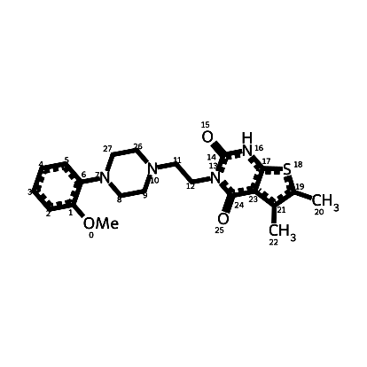 COc1ccccc1N1CCN(CCn2c(=O)[nH]c3sc(C)c(C)c3c2=O)CC1